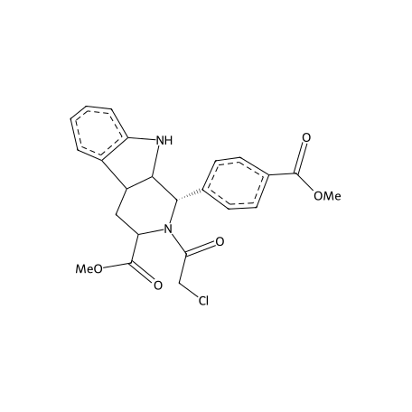 COC(=O)c1ccc([C@H]2C3Nc4ccccc4C3CC(C(=O)OC)N2C(=O)CCl)cc1